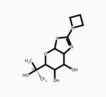 C[C@](O)(C1OC2SC(N3CCC3)=NC2C(O)C1O)C(F)(F)F